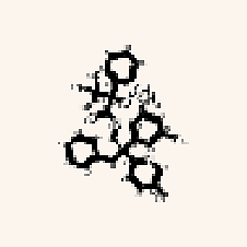 COC(C(=O)NC[C@@](Cc1ccccc1)(c1cc(C)cc(F)c1)c1ccc(F)cn1)(c1ccccc1)C(F)(F)F